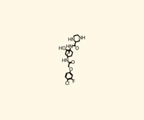 O=C(COc1ccc(Cl)c(F)c1)NC12CCC(NC(=O)C3CNCCN3)(CC1)C(O)C2